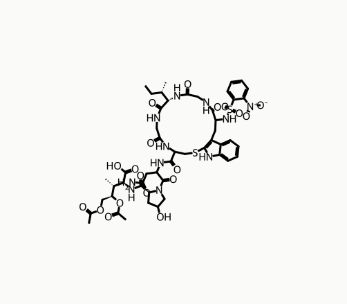 CC[C@H](C)[C@@H]1NC(=O)CNC(=O)C(NS(=O)(=O)c2ccccc2[N+](=O)[O-])Cc2c([nH]c3ccccc23)SCC(C(=O)NC(CC(N)=O)C(=O)N2CC(O)C[C@H]2C(=O)N[C@H](C(=O)O)[C@@H](C)[C@H](COC(C)=O)OC(C)=O)NC(=O)CNC1=O